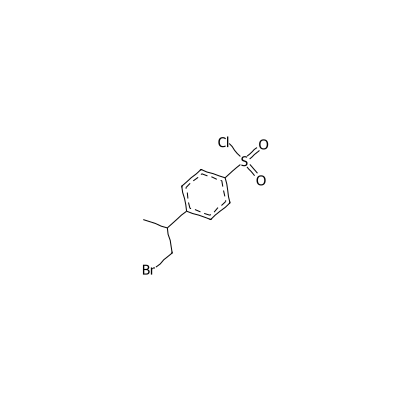 CC(CBr)c1ccc(S(=O)(=O)Cl)cc1